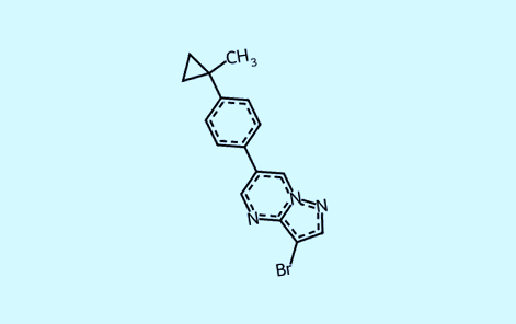 CC1(c2ccc(-c3cnc4c(Br)cnn4c3)cc2)CC1